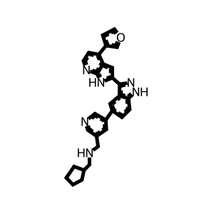 c1cc(-c2ccoc2)c2cc(-c3n[nH]c4ccc(-c5cncc(CNCC6CCCC6)c5)cc34)[nH]c2n1